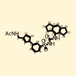 CC(=O)NCC1=CC(c2cccc(S(=O)(=O)NC(=O)Nc3c4c(cc5c3CCC5)CCC4)c2)C=C1